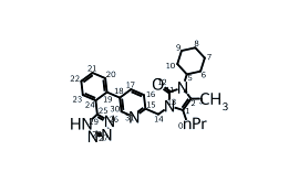 CCCc1c(C)n(C2CCCCC2)c(=O)n1Cc1ccc(-c2ccccc2-c2nnn[nH]2)cn1